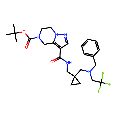 CC(C)(C)OC(=O)N1CCn2ncc(C(=O)NCC3(CN(Cc4ccccc4)CC(F)(F)F)CC3)c2C1